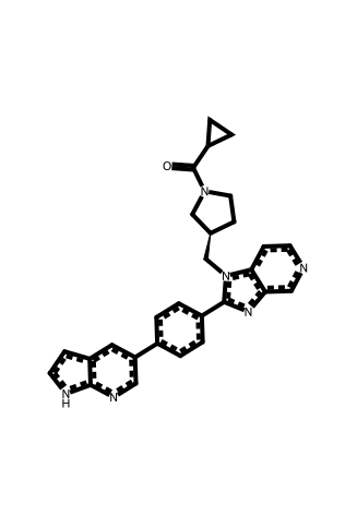 O=C(C1CC1)N1CC[C@@H](Cn2c(-c3ccc(-c4cnc5[nH]ccc5c4)cc3)nc3cnccc32)C1